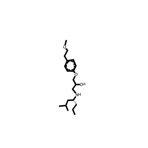 CCC[C@H](CC(C)C)NCC(O)COc1ccc(CCOC)cc1